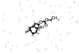 CCOC(=O)Oc1cc2cc(F)ccc2[nH]1